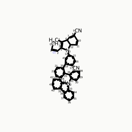 C/C=C\C1=C(C)C2C=C(C#N)C=CC2N1c1ccc(C#N)c(-c2ccccc2-c2ccccc2-n2c3ccccc3c3ccccc32)c1